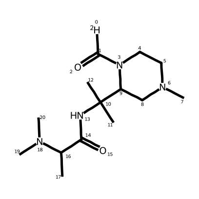 [2H]C(=O)N1CCN(C)CC1C(C)(C)NC(=O)C(C)N(C)C